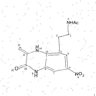 CC(=O)NCCc1cc([N+](=O)[O-])cc2[nH]c(=O)c(=O)[nH]c12